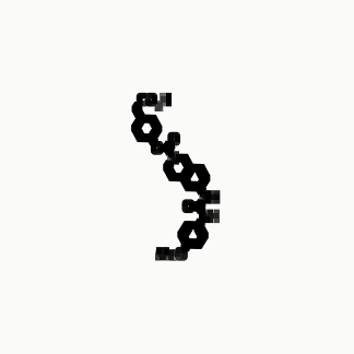 COc1ccc(NC(=O)Nc2ccc3c(c2)CCN(C(=O)OC2CCC(CC(=O)O)CC2)C3)cc1